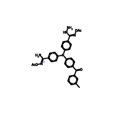 CC(=O)ON=C(NN)c1ccc(N(c2ccc(C(=O)c3cccc(C)c3)cc2)c2ccc(/C(N)=N/OC(C)=O)cc2)cc1